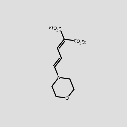 CCOC(=O)C(=C/C=C/N1CCOCC1)C(=O)OCC